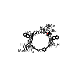 CN[C@@H](C)C(=O)N[C@@H](C)C(=O)N1C[C@@H]2C[C@H]1C(=O)N[C@@H](Cc1ccc3ccccc3c1)C(=O)N[C@H](C(=O)O)CCC(=O)N[C@H]1C[C@@H](C(=O)N[C@@H](Cc3ccc4ccccc4c3)C(=O)N[C@H](C(=O)O)Cc3ccc(cc3)OC/C=C/CO2)N(C(=O)[C@@H](NC(=O)[C@H](C)NC)C(C)(C)C)C1